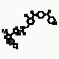 CC1(Cc2[nH]nc(C(F)(F)F)c2-c2cnc(C(=O)NCc3ccc(C(=O)N4CCN(C(=O)C5CCNCC5)CC4)c(Cl)c3)[nH]2)CSC1